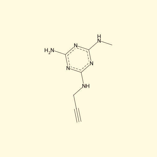 C#CCNc1nc(N)nc(NC)n1